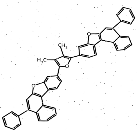 Cc1c(-c2ccc3c(c2)oc2cc(-c4ccccc4)c4ccccc4c23)oc(-c2ccc3c(c2)oc2cc(-c4ccccc4)c4ccccc4c23)c1C